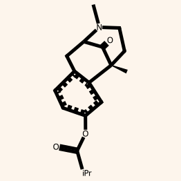 CC(C)C(=O)Oc1ccc2c(c1)[C@@]1(C)CCN(C)C(C2)C1=O